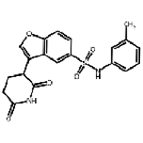 Cc1cccc(NS(=O)(=O)c2ccc3occ(C4CCC(=O)NC4=O)c3c2)c1